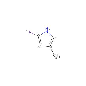 Cc1c[nH]c(I)c1